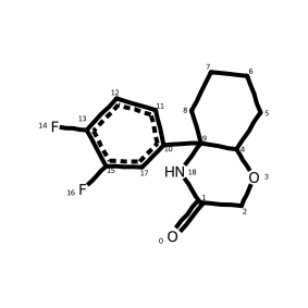 O=C1COC2CCCCC2(c2ccc(F)c(F)c2)N1